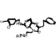 CC(=O)NCCn1c(=O)c(CCc2ccccc2)nc2cnc(NCc3ccc(Cl)c(Cl)c3)nc21